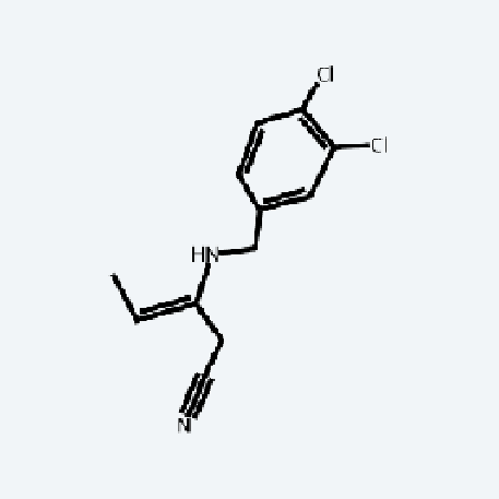 C/C=C(/CC#N)NCc1ccc(Cl)c(Cl)c1